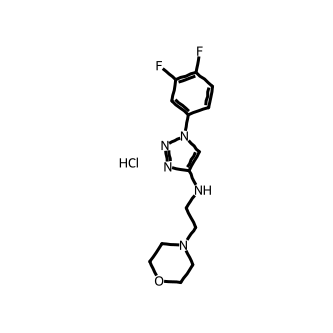 Cl.Fc1ccc(-n2cc(NCCN3CCOCC3)nn2)cc1F